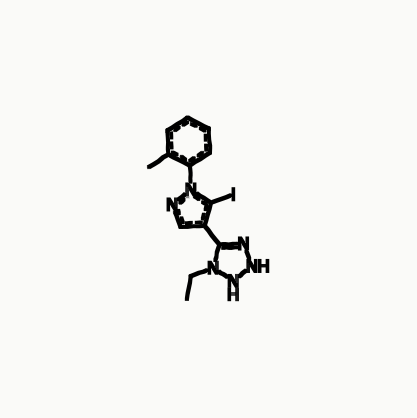 CCN1NNN=C1c1cnn(-c2ccccc2C)c1I